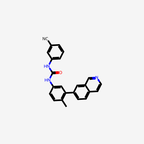 Cc1ccc(NC(=O)Nc2cccc(C#N)c2)cc1-c1ccc2ccncc2c1